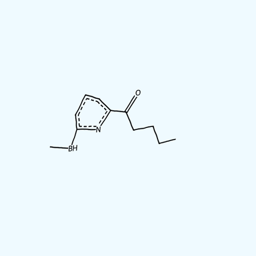 CBc1cccc(C(=O)CCCC)n1